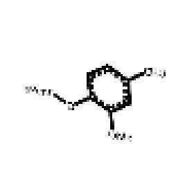 CCCCCOc1ccc(C=O)cc1OC